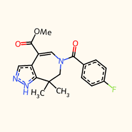 COC(=O)C1=CN(C(=O)c2ccc(F)cc2)CC(C)(C)c2[nH]ncc21